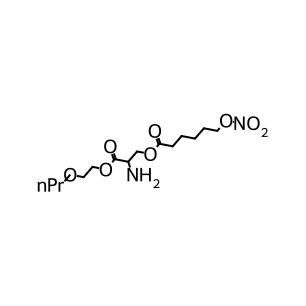 CCCOCCOC(=O)C(N)COC(=O)CCCCCO[N+](=O)[O-]